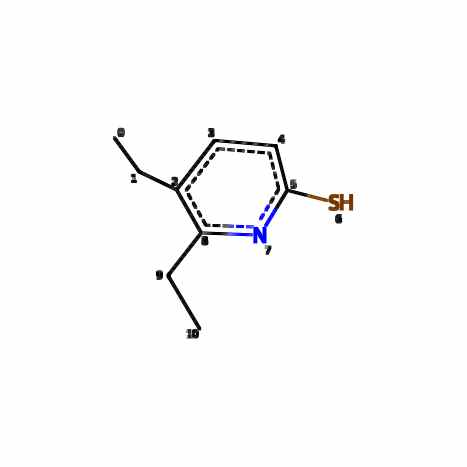 CCc1ccc(S)nc1CC